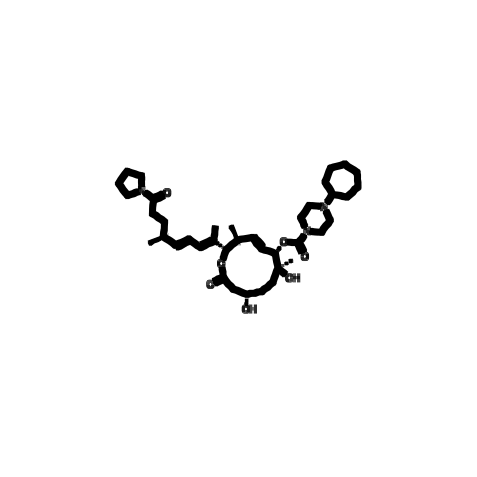 C/C(=C\C=C\[C@@H](C)CCC(=O)N1CCCC1)[C@H]1OC(=O)C[C@@H](O)CC[C@](C)(O)[C@@H](OC(=O)N2CCN(C3CCCCCC3)CC2)/C=C/[C@@H]1C